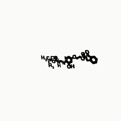 CC(C)(C)OC(=O)N/C=N/c1ncc(OCCO[N+]2([O-])Cc3ccccc3C2=O)cc1O